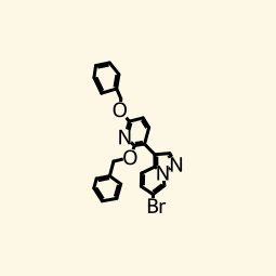 Brc1ccc2c(-c3ccc(OCc4ccccc4)nc3OCc3ccccc3)cnn2c1